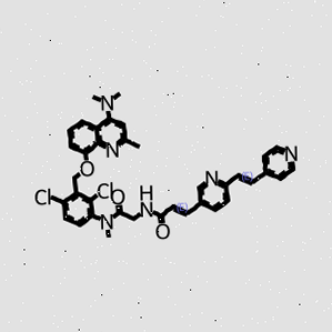 Cc1cc(N(C)C)c2cccc(OCc3c(Cl)ccc(N(C)C(=O)CNC(=O)/C=C/c4ccc(/C=C/c5ccncc5)nc4)c3Cl)c2n1